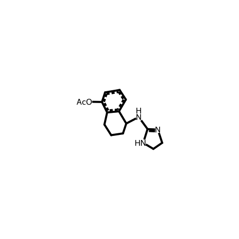 CC(=O)Oc1cccc2c1CCCC2NC1=NCCN1